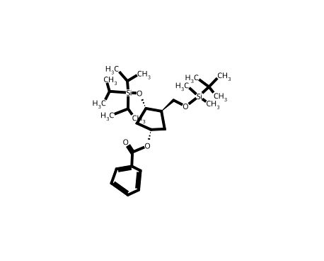 CC(C)[Si](O[C@H]1C[C@@H](OC(=O)c2ccccc2)C[C@@H]1CO[Si](C)(C)C(C)(C)C)(C(C)C)C(C)C